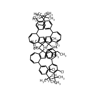 CCC1=CC2=C(C=CC=CC2c2ccc(C(C)(C)C)c(Cl)c2)[C]12[SiH](C)[C]1(C(CC)=CC3=C1C=CC=CC3c1ccc(C(C)(C)C)c(Cl)c1)[Hf]21[C]2(C(CC)=CC3=C2C=CC=CC3c2ccc(C(C)(C)C)c(Cl)c2)[SiH](C)[C]12C(CC)=CC1=C2C=CC=CC1c1ccc(C(C)(C)C)c(Cl)c1